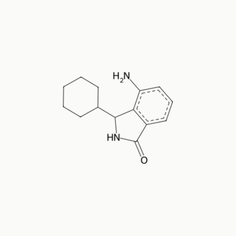 Nc1cccc2c1C(C1CCCCC1)NC2=O